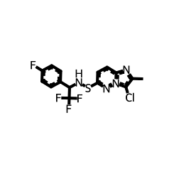 Cc1nc2ccc(SNC(c3ccc(F)cc3)C(F)(F)F)nn2c1Cl